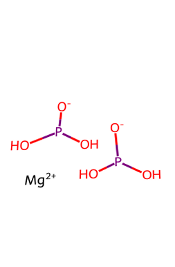 [Mg+2].[O-]P(O)O.[O-]P(O)O